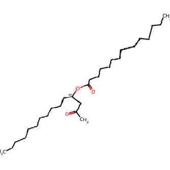 CCCCCCCCCCCCCC(=O)O[C@H](CCCCCCCCCCC)CC(C)=O